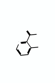 Cc1cccnc1C(=O)I